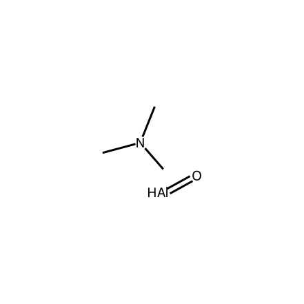 CN(C)C.[O]=[AlH]